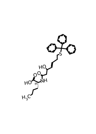 CCCC[C@@H](NC(=O)CC(O)C=CCCSC(c1ccccc1)(c1ccccc1)c1ccccc1)C(=O)O